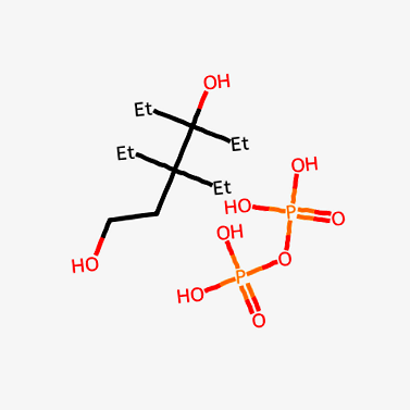 CCC(O)(CC)C(CC)(CC)CCO.O=P(O)(O)OP(=O)(O)O